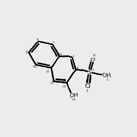 O=S(=O)(O)c1cc2ccccc2[c]c1O